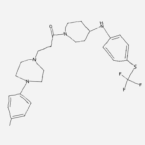 Cc1ccc(N2CCN(CCC(=O)N3CCC(Nc4ccc(SC(F)(F)F)cc4)CC3)CC2)cc1